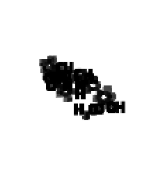 COc1cc(/C=C/C(=O)NC(C)C(=O)N2CCCC2C(=O)OC2CC3CCC2(C)C3(C)C)ccc1O